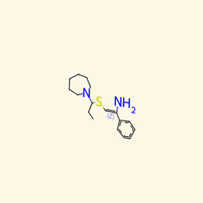 CCC(S/C=C(\N)c1ccccc1)N1CCCCCC1